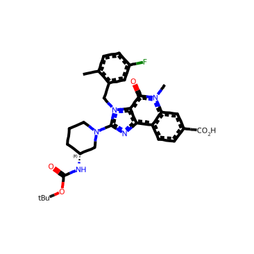 Cc1ccc(F)cc1Cn1c(N2CCC[C@@H](NC(=O)OC(C)(C)C)C2)nc2c3ccc(C(=O)O)cc3n(C)c(=O)c21